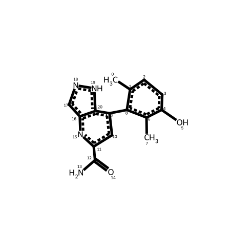 Cc1ccc(O)c(C)c1-c1cc(C(N)=O)nc2cn[nH]c12